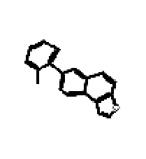 Cc1ccccc1-c1ccc2c(ccc3occc32)c1